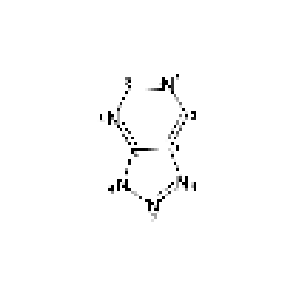 c1ncc2c(n1)[N]N=N2